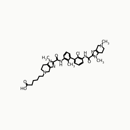 Cc1c(NC(=O)c2nc3c(n2C)CCN(CCCCCC(=O)O)C3)cccc1-c1cccc(NC(=O)c2nc3c(n2C)CCN(C)C3)c1Cl